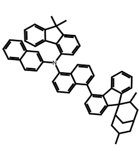 CC1CC2CC(C)C3(c4ccccc4-c4c(-c5cccc6c(N(c7ccc8ccccc8c7)c7cccc8c7-c7ccccc7C8(C)C)cccc56)cccc43)C(C1)C2